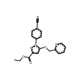 CCOC(=O)c1cc(OCc2ccccn2)n(-c2ccc(C#N)cc2)n1